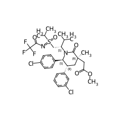 COC(=O)C[C@@]1(C)C[C@H](c2cccc(Cl)c2)[C@@H](c2ccc(Cl)cc2)N([C@H](CS(=O)(=NC(=O)C(F)(F)F)C(C)C)C(C)C)C1=O